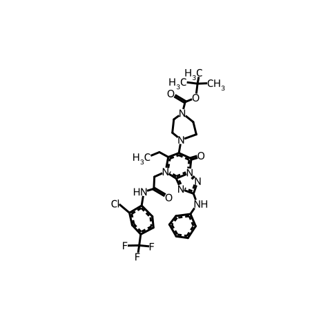 CCc1c(N2CCN(C(=O)OC(C)(C)C)CC2)c(=O)n2nc(Nc3ccccc3)nc2n1CC(=O)Nc1ccc(C(F)(F)F)cc1Cl